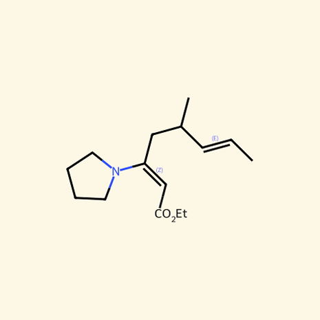 C/C=C/C(C)C/C(=C/C(=O)OCC)N1CCCC1